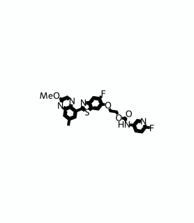 COc1cnc2c(-c3nc4cc(F)c(OCCOC(=O)Nc5ccc(F)nc5)cc4s3)cc(C)cc2n1